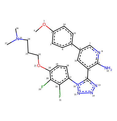 COc1ccc(-c2cnc(N)c(-c3nnnn3-c3ccc(OCCCN(C)C)c(F)c3F)c2)cc1